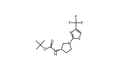 CC(C)(C)OC(=O)N[C@@H]1CCN(c2nc(C(F)(F)F)cs2)C1